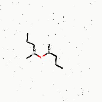 CCC[SiH](C)O[SiH](C)CCC